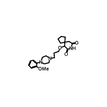 COc1ccccc1N1CCN(CCCOC2C(=O)NC(=O)CC23CCCC3)CC1